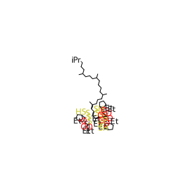 CCO[Si](OCC)(OCC)SS(SS)(C(=CC=C(C)CCCC(C)CCCCC(C)CCCC(C)CCCC(C)C)C(C)=C(S(SS)(S[Si](OCC)(OCC)OCC)C1CC2CCC1C2)S(SS)(S[Si](OCC)(OCC)OCC)C1CC2CCC1C2)C1CC2CCC1C2